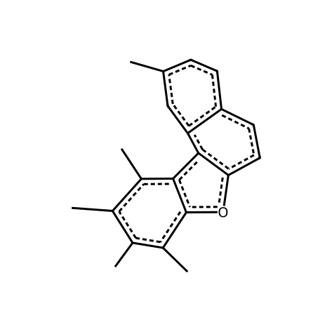 Cc1ccc2ccc3oc4c(C)c(C)c(C)c(C)c4c3c2c1